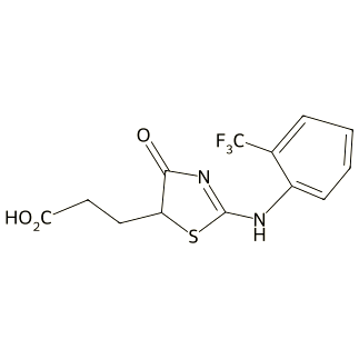 O=C(O)CCC1SC(Nc2ccccc2C(F)(F)F)=NC1=O